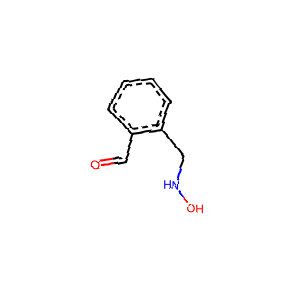 O=Cc1ccccc1CNO